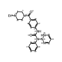 CCN1CCN(C(=O)c2ccc(NC(=O)N(c3ccccc3)N3N=CC=CN3)cc2)CC1